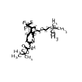 CC(C)(C)OC(=O)Nc1ccc2c(C(F)(F)F)cn(COCC[Si](C)(C)C)c2n1